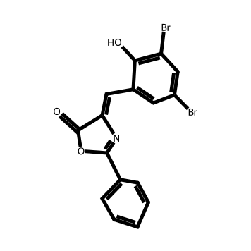 O=C1OC(c2ccccc2)=NC1=Cc1cc(Br)cc(Br)c1O